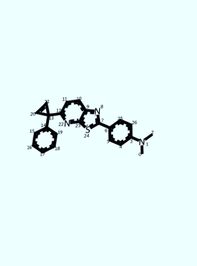 CN(C)c1ccc(-c2nc3ccc(C4(c5ccccc5)C=C4)nc3s2)cc1